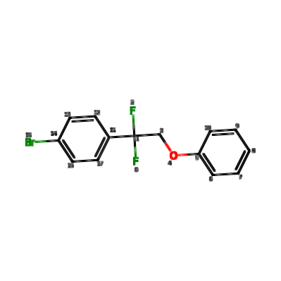 FC(F)(COc1ccccc1)c1ccc(Br)cc1